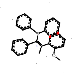 COc1ccccc1/C(C)=C(\B(c1ccccc1)c1ccccc1)c1ccccc1